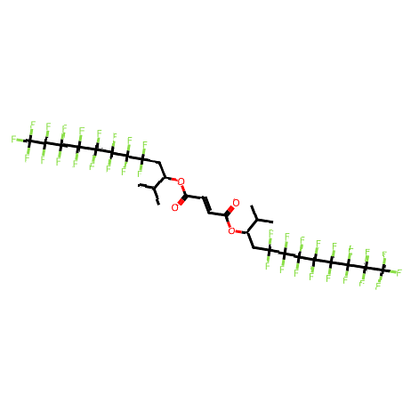 CC(C)C(CC(F)(F)C(F)(F)C(F)(F)C(F)(F)C(F)(F)C(F)(F)C(F)(F)C(F)(F)F)OC(=O)/C=C/C(=O)OC(CC(F)(F)C(F)(F)C(F)(F)C(F)(F)C(F)(F)C(F)(F)C(F)(F)C(F)(F)F)C(C)C